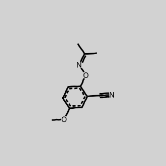 COc1ccc(ON=C(C)C)c(C#N)c1